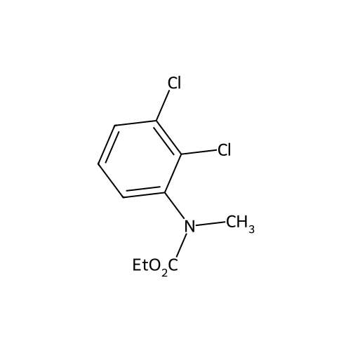 C[CH]OC(=O)N(C)c1cccc(Cl)c1Cl